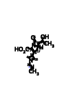 C/N=C/N1CC(C2=C(C(=O)O)N3C(=O)[C@H]([C@@H](C)O)[C@H]3C2)C1